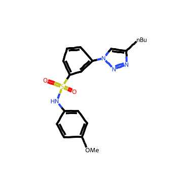 CCCCc1cn(-c2cccc(S(=O)(=O)Nc3ccc(OC)cc3)c2)nn1